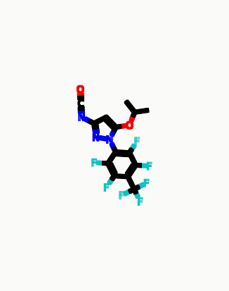 CC(C)Oc1cc(N=C=O)nn1-c1c(F)c(F)c(C(F)(F)F)c(F)c1F